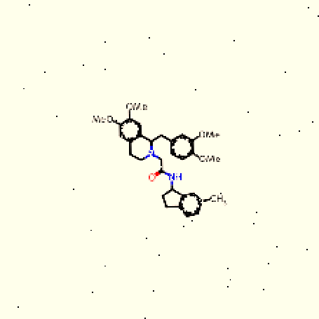 COc1ccc(CC2c3cc(OC)c(OC)cc3CCN2CC(=O)NC2CCc3ccc(C)cc32)cc1OC